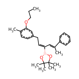 CCCOc1cc(C/C=C(\C=C(/C)c2ccccc2)B2OC(C)(C)C(C)(C)O2)ccc1C